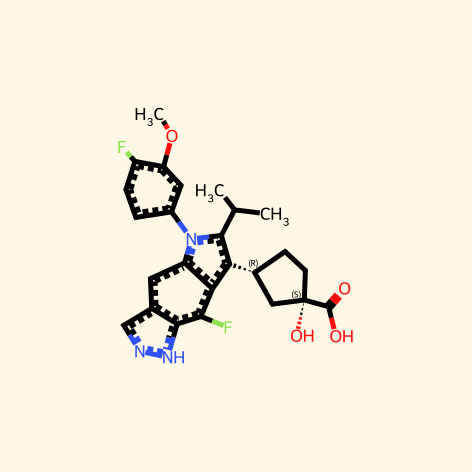 COc1cc(-n2c(C(C)C)c([C@@H]3CC[C@@](O)(C(=O)O)C3)c3c(F)c4[nH]ncc4cc32)ccc1F